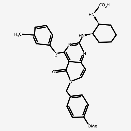 COc1ccc(Cn2ccc3nc(N[C@@H]4CCCC[C@@H]4NC(=O)O)nc(Nc4cccc(C)c4)c3c2=O)cc1